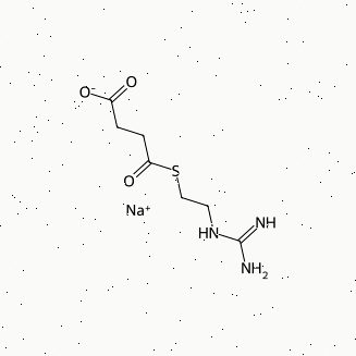 N=C(N)NCCSC(=O)CCC(=O)[O-].[Na+]